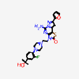 CC(C)(O)c1ccc(N2CCN(CCn3c(=O)sc4c3nc(N)n3nc(-c5ccco5)cc43)CC2)c(F)c1